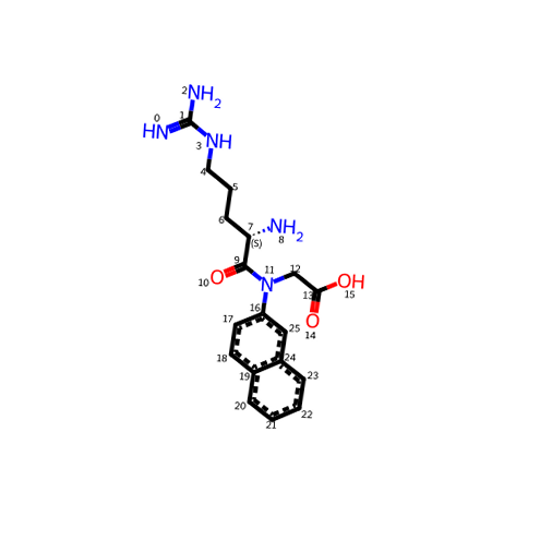 N=C(N)NCCC[C@H](N)C(=O)N(CC(=O)O)c1ccc2ccccc2c1